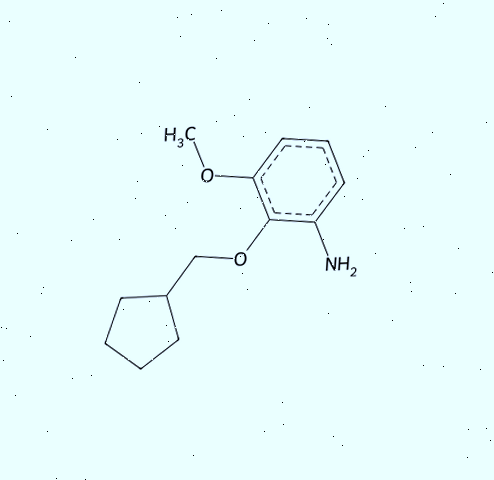 COc1cccc(N)c1OCC1CCCC1